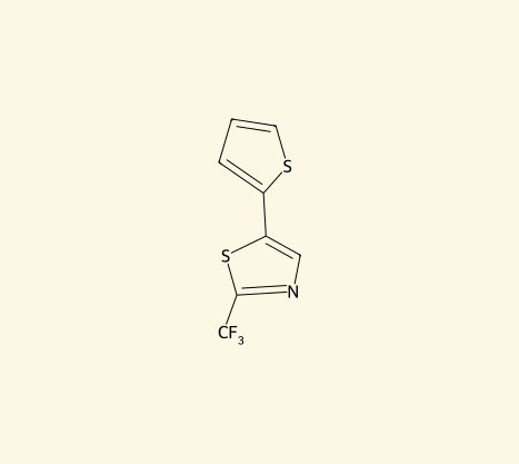 FC(F)(F)c1ncc(-c2cccs2)s1